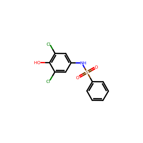 O=S(=O)(Nc1cc(Cl)c(O)c(Cl)c1)c1ccccc1